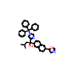 CC(C)CC(O)(c1ccc2cc(-c3cnco3)ccc2c1)c1cn(C(c2ccccc2)(c2ccccc2)c2ccccc2)cn1